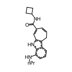 CCCNc1cccc2c3c([nH]c12)C=C(C(=O)NC1CCC1)C=CC3